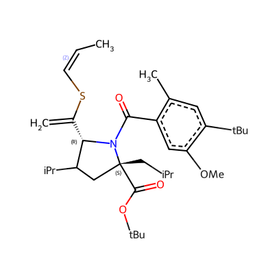 C=C(S/C=C\C)[C@H]1C(C(C)C)C[C@@](CC(C)C)(C(=O)OC(C)(C)C)N1C(=O)c1cc(OC)c(C(C)(C)C)cc1C